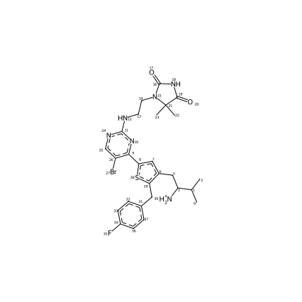 CC(C)C(N)Cc1cc(-c2nc(NCCN3C(=O)NC(=O)C3(C)C)ncc2Br)sc1Cc1ccc(F)cc1